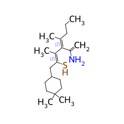 C=C(N)C(=C(/C)CCC)/C(C)=C(\S)CC1CCC(C)(C)CC1